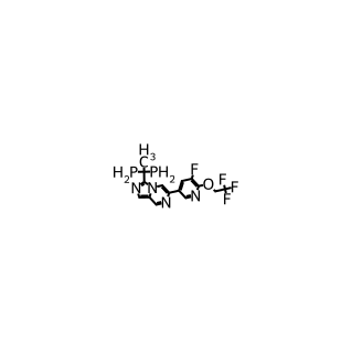 CC(P)(P)c1ncc2cnc(-c3cnc(OCC(F)(F)F)c(F)c3)cn12